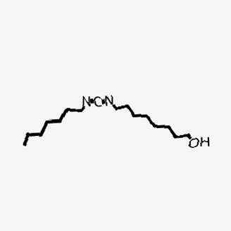 CCCCCCCN=C=NCCCCCCCCO